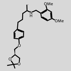 [CH2]C(CCCc1ccc(OC[C@H]2COC(C)(C)O2)cc1)NCc1ccc(OC)cc1OC